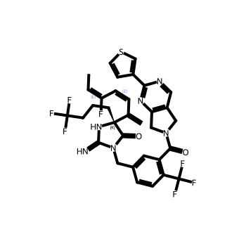 C=C(/C=C\C(F)=C/C)[C@@]1(CCCC(F)(F)F)NC(=N)N(Cc2ccc(C(F)(F)F)c(C(=O)N3Cc4cnc(-c5ccsc5)nc4C3)c2)C1=O